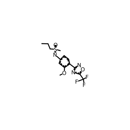 CCCS(C)(=O)=Nc1ccc(-c2noc(C(F)(F)F)n2)c(OC)c1